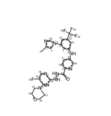 Cc1cn(-c2cc(Nc3ccc(C(=O)NNc4ncc(F)c(N5CCOCC5)n4)nc3)cc(C(F)(F)F)c2)cn1